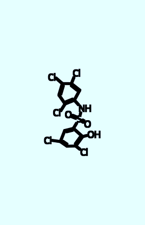 O=S(=O)(Nc1cc(Cl)c(Cl)cc1Cl)c1cc(Cl)cc(Cl)c1O